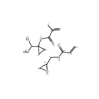 C=C(C)C(=O)OC1(C(CC)CCCC)CC1.C=CC(=O)OCC1CO1